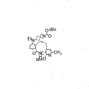 CCN(c1cccc2c1CC=CCCc1cc(C)nc(OC)c1CNC2=O)C1CC2(C1)CN(C(=O)OC(C)(C)C)C2